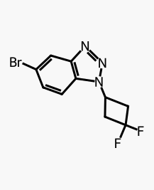 FC1(F)CC(n2nnc3cc(Br)ccc32)C1